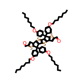 CCCCCCCCOc1ccc(C2(c3ccc(OCCCCCCCC)cc3)c3sc(C=O)cc3-c3sc4c5c(sc4c32)-c2cc(C=O)sc2C5(c2ccc(OCCCCCCCC)cc2)c2ccc(OCCCCCCCC)cc2)cc1